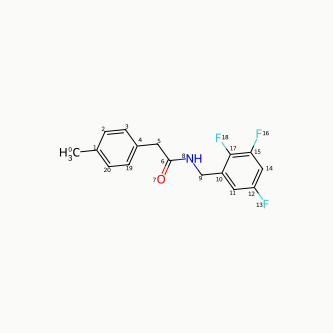 Cc1ccc(CC(=O)NCc2cc(F)cc(F)c2F)cc1